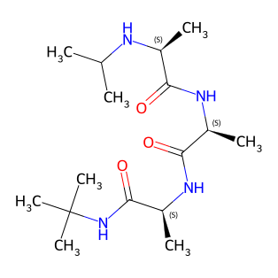 CC(C)N[C@@H](C)C(=O)N[C@@H](C)C(=O)N[C@@H](C)C(=O)NC(C)(C)C